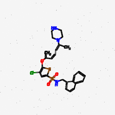 C=C(/C=C\C=C(/C)N1CCNCC1)Oc1sc(S(=O)(=O)NCc2cccc3ccccc23)cc1Cl